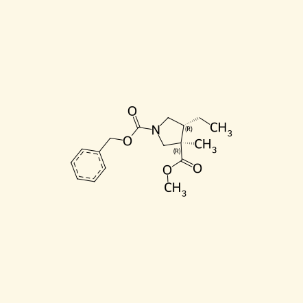 CC[C@H]1CN(C(=O)OCc2ccccc2)C[C@]1(C)C(=O)OC